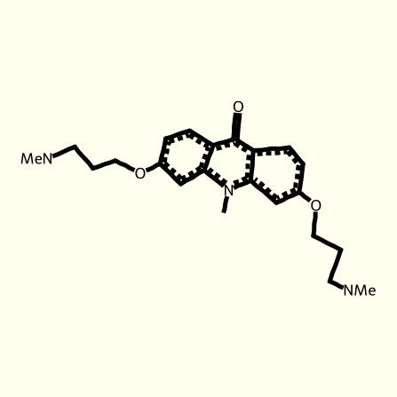 CNCCCOc1ccc2c(=O)c3ccc(OCCCNC)cc3n(C)c2c1